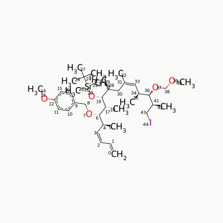 C=C/C=C\[C@H](C)[C@H](OCc1ccc(OC)cc1)[C@@H](C)[C@H](O[Si](C)(C)C(C)(C)C)[C@@H](C)C/C(C)=C\[C@H](C)[C@@H](OCOC)[C@@H](C)CI